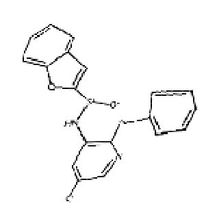 [O-][S+](Nc1cc(Cl)cnc1Sc1ccccc1)c1cc2ccccc2o1